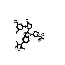 Cc1noc(C)c1-c1ccc2c(c1)nc(C1CCC(=O)N1c1cc(F)cc(Cl)c1)n2C1CCN(S(C)(=O)=O)C1